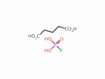 O=C(O)CCCC(=O)O.O=P(O)(O)F